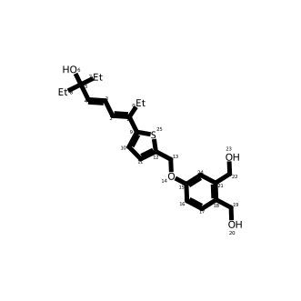 CCC(=CC=CC(O)(CC)CC)c1ccc(COc2ccc(CO)c(CO)c2)s1